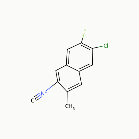 [C-]#[N+]c1cc2cc(F)c(Cl)cc2cc1C